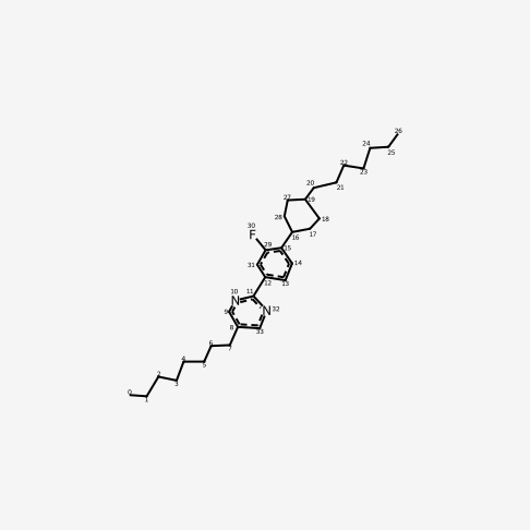 CCCCCCCCc1cnc(-c2ccc(C3CCC(CCCCCCC)CC3)c(F)c2)nc1